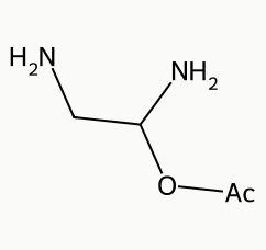 CC(=O)OC(N)CN